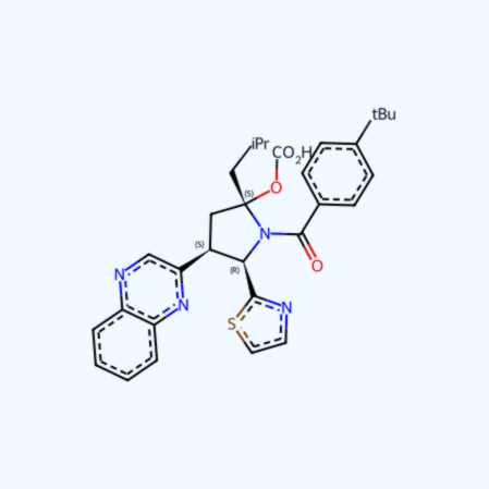 CC(C)C[C@]1(OC(=O)O)C[C@H](c2cnc3ccccc3n2)[C@H](c2nccs2)N1C(=O)c1ccc(C(C)(C)C)cc1